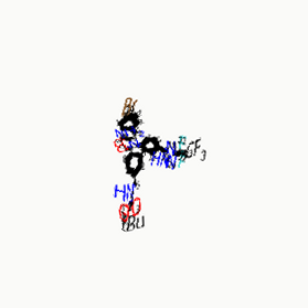 CC(C)(C)OC(=O)NC[C@H]1CC[C@H](C(=O)N(c2ccc(-c3nc(C(F)(F)C(F)(F)F)n[nH]3)cc2)[C@@H](Cc2ccc(Br)cc2)C(N)=O)CC1